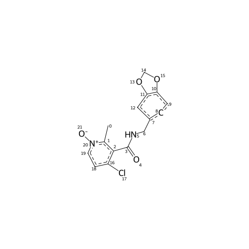 Cc1c(C(=O)NCc2ccc3c(c2)OCO3)c(Cl)cc[n+]1[O-]